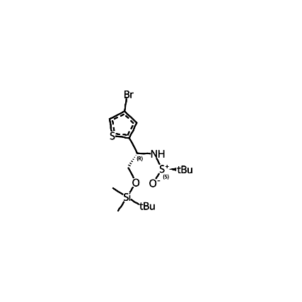 CC(C)(C)[S@@+]([O-])N[C@H](CO[Si](C)(C)C(C)(C)C)c1cc(Br)cs1